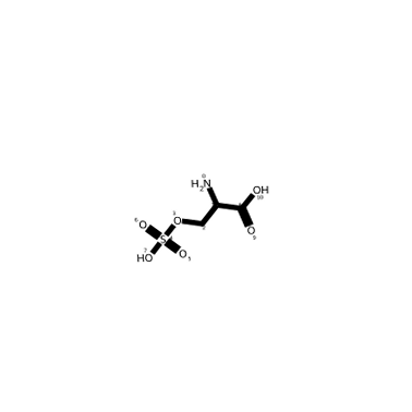 NC(COS(=O)(=O)O)C(=O)O